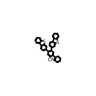 N#Cc1cc(-c2ccc3c(c2)sc2ccccc23)c(-c2ccc3c(c2)sc2ccccc23)cc1-c1ccccc1